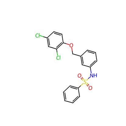 O=S(=O)(Nc1cccc(COc2ccc(Cl)cc2Cl)c1)c1ccccc1